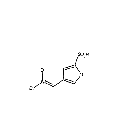 CC[N+]([O-])=Cc1coc(S(=O)(=O)O)c1